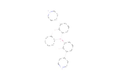 O=P12c3cccc(-c4ccncc4)c3Oc3cccc(c31)Oc1c(-c3ccncc3)cccc12